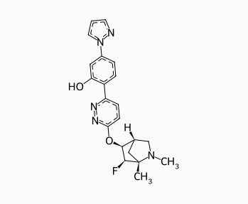 CN1C[C@@H]2C[C@@]1(C)[C@@H](F)[C@H]2Oc1ccc(-c2ccc(-n3cccn3)cc2O)nn1